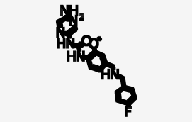 COc1cc(CNCc2ccc(F)cc2)ccc1NC(=O)Nc1cnc(N)cn1